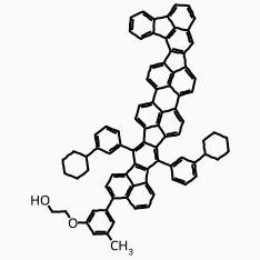 Cc1cc(OCCO)cc(-c2ccc3c4c(-c5cccc(C6CCCCC6)c5)c5c6ccc7c8ccc9c%10c(ccc(c%11ccc(c5c(-c5cccc(C%12CCCCC%12)c5)c4c4cccc2c43)c6c%117)c8%10)c2cc3cccc4c5ccccc5c(c34)c29)c1